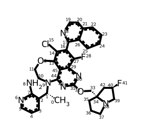 C[C@H](c1cccnc1N)N1CCOc2c(Cl)c(-c3nccc4ccccc34)c(F)c3nc(OC[C@@]45CCCN4C[C@H](F)C5)nc1c23